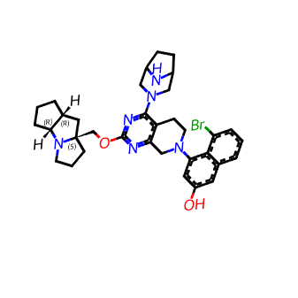 Oc1cc(N2CCc3c(nc(OC[C@@]45CCCN4[C@@H]4CCC[C@@H]4C5)nc3N3CC4CCC(C3)N4)C2)c2c(Br)cccc2c1